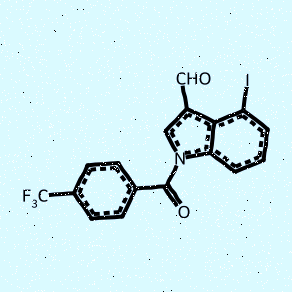 O=Cc1cn(C(=O)c2ccc(C(F)(F)F)cc2)c2cccc(I)c12